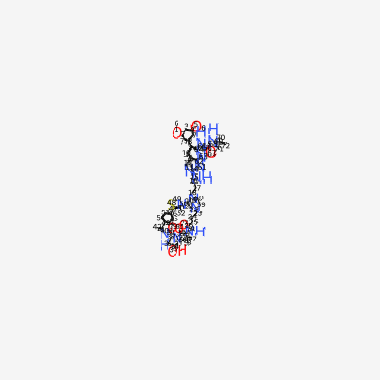 COc1cc(OC)cc(-c2cc3cnc(NCCCN4CCN(CCCC(=O)NC(C(=O)N5C[C@H](O)C[C@H]5C(=O)NC(C)c5ccc(-c6scnc6C)cc5)C(C)(C)C)CC4)nc3nc2NC(=O)NC(C)(C)C)c1